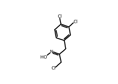 ON=C(CCl)Cc1ccc(Cl)c(Cl)c1